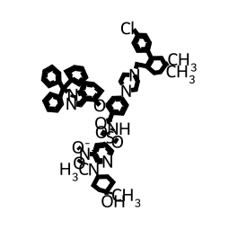 CN(c1ncc(S(=O)(=O)NC(=O)c2ccc(N3CCN(CC4=C(c5ccc(Cl)cc5)CC(C)(C)CC4)CC3)cc2Oc2cccc3c2cnn3C(c2ccccc2)(c2ccccc2)c2ccccc2)cc1[N+](=O)[O-])[C@H]1CC[C@@](C)(O)CC1